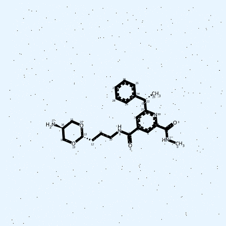 CNC(=O)c1cc(C(=O)NCCC[C@H]2OC[C@H](N)CO2)cc([C@@H](C)c2ccccc2)n1